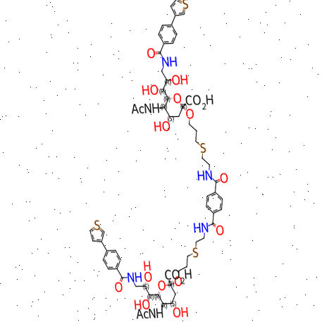 CC(=O)N[C@H]1[C@H]([C@H](O)[C@H](O)CNC(=O)c2ccc(-c3ccsc3)cc2)O[C@@](OCCCSCCNC(=O)c2ccc(C(=O)NCCSCCCO[C@]3(C(=O)O)C[C@H](O)[C@@H](NC(C)=O)[C@H]([C@H](O)[C@@H](O)CNC(=O)c4ccc(-c5ccsc5)cc4)O3)cc2)(C(=O)O)C[C@@H]1O